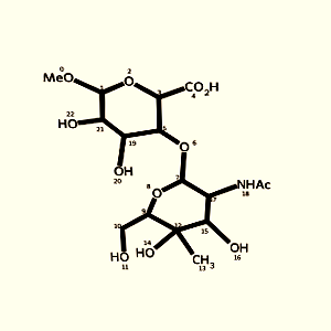 COC1OC(C(=O)O)C(OC2OC(CO)C(C)(O)C(O)C2NC(C)=O)C(O)C1O